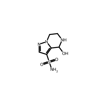 NS(=O)(=O)c1cnn2c1C(O)NCC2